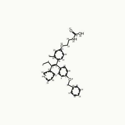 CCC(=C(c1ccc(OCc2ccccc2)cc1)c1ccc(OCCNC(=O)O)cc1C)c1ccccc1